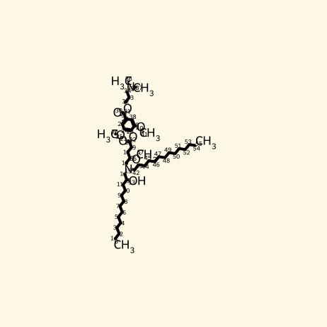 CCCCCCCCCCCCC(O)CN(CCCCC(=O)Oc1c(OC)cc(C(=O)OCCCN(C)C)cc1OC)CC(CCCCCCCCCCCC)OC